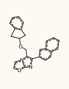 c1ccc2c(c1)CC(OCc1c(-c3ccc4ccccc4c3)nc3occn13)C2